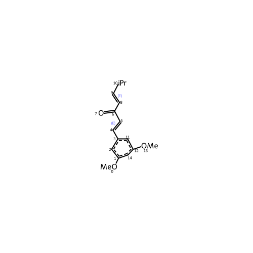 COc1cc(/C=C/C(=O)/C=C/C(C)C)cc(OC)c1